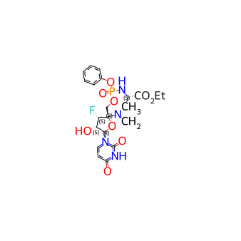 C=N[C@]1(COP(=O)(N[C@@H](C)C(=O)OCC)Oc2ccccc2)O[C@@H](n2ccc(=O)[nH]c2=O)[C@H](O)[C@@H]1F